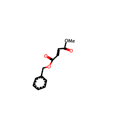 COC(=O)C=CC(=O)OCc1ccccc1